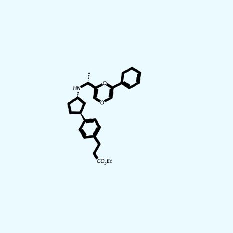 CCOC(=O)CCc1ccc([C@H]2CC[C@H](N[C@H](C)C3=COC=C(C4=CC=CCC4)O3)C2)cc1